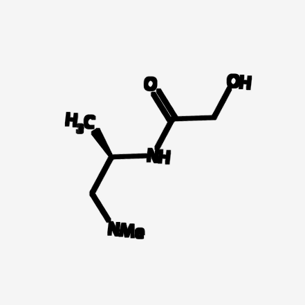 CNC[C@@H](C)NC(=O)CO